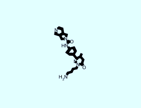 CC1CC(=O)N(CCCCN)N=C1c1ccc(NC(=O)N2Cc3ccncc3C2)cc1